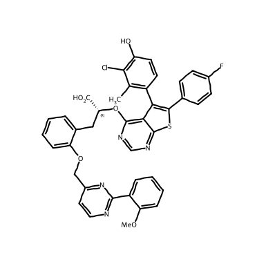 COc1ccccc1-c1nccc(COc2ccccc2C[C@@H](Oc2ncnc3sc(-c4ccc(F)cc4)c(-c4ccc(O)c(Cl)c4C)c23)C(=O)O)n1